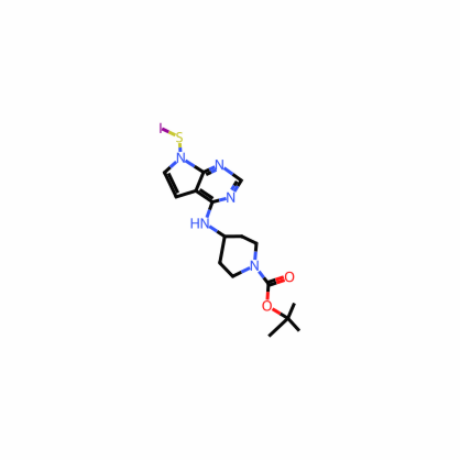 CC(C)(C)OC(=O)N1CCC(Nc2ncnc3c2ccn3SI)CC1